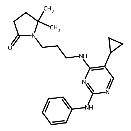 CC1(C)CCC(=O)N1CCCNc1nc(Nc2ccccc2)ncc1C1CC1